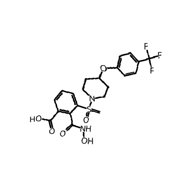 C=S(=O)(c1cccc(C(=O)O)c1C(=O)NO)N1CCC(Oc2ccc(C(F)(F)F)cc2)CC1